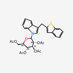 CC(=O)OC[C@H]1OC(n2cc(Cc3cc4ccccc4s3)c3ccccc32)[C@H](OC(C)=O)[C@@H](OC(C)=O)[C@@H]1OC(C)=O